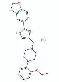 CCOc1ccccc1N1CCN(Cc2c[nH]c(-c3ccc4c(c3)CCO4)n2)CC1.Cl